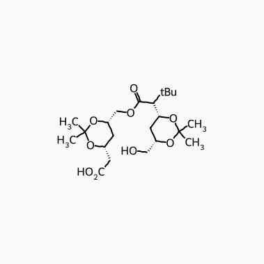 CC1(C)O[C@H](COC(=O)C([C@H]2C[C@@H](CO)OC(C)(C)O2)C(C)(C)C)C[C@H](CC(=O)O)O1